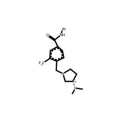 CC(C)NC(=O)c1ccc(CN2CC[C@H](N(C)C)C2)c(C(F)(F)F)c1